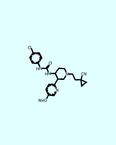 COc1ccc(C2CN(CCC3(C#N)CC3)CCC2NC(=O)Nc2ccc(Cl)cc2)nc1